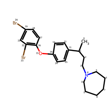 CC(CCN1CCCCCC1)c1ccc(Oc2ccc(Br)cc2Br)cc1